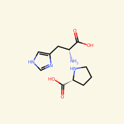 N[C@H](Cc1c[nH]cn1)C(=O)O.O=C(O)[C@H]1CCCN1